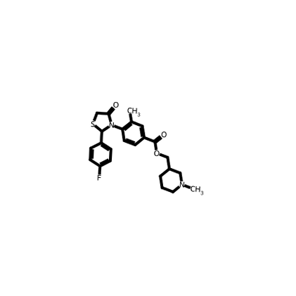 Cc1cc(C(=O)OCC2CCCN(C)C2)ccc1N1C(=O)CSC1c1ccc(F)cc1